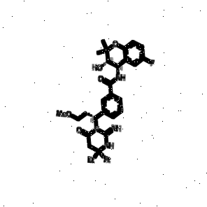 CCC1(CC)CC(=O)N([C@H](CCOC)c2cccc(C(=O)N[C@@H]3c4cc(F)ccc4OC(C)(C)[C@H]3O)c2)C(=N)N1